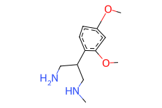 CNCC(CN)c1ccc(OC)cc1OC